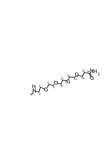 CNCCOCCOCCOCCOCCC(N)=O